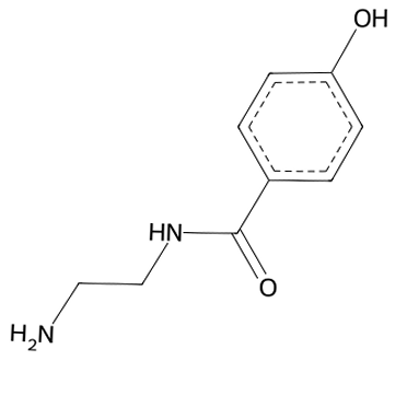 NCCNC(=O)c1ccc(O)cc1